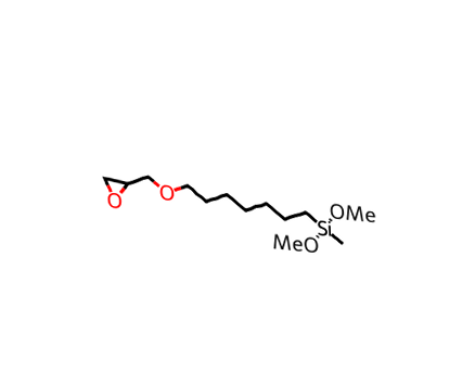 CO[Si](C)(CCCCCCCOCC1CO1)OC